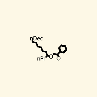 CCCCCCCCCCCCCCCCC(CCC)OCC(=O)c1ccccc1